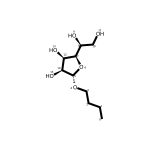 CCCCO[C@H]1O[C@H]([C@@H](O)CO)[C@H](O)[C@@H]1O